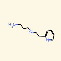 NCCC[N]CCc1ccccn1